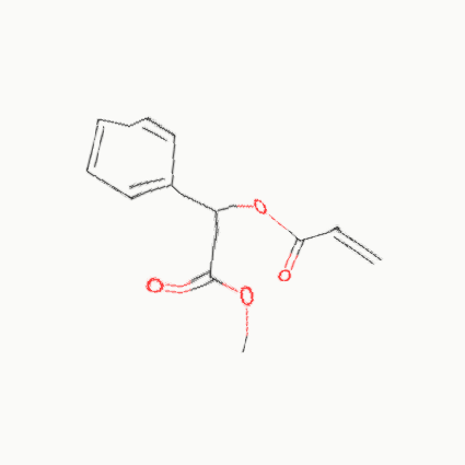 C=CC(=O)OC(C(=O)OC)c1ccccc1